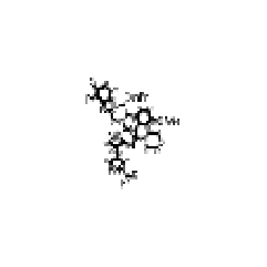 CCCOCn1c(CN(Cc2ccc(OC)cc2)c2nc(N3CCOCC3)nc3c(-c4cnn(C(F)F)c4)cnn23)nc2c(F)c(F)ccc21